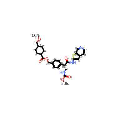 CC(C)(C)OC(=O)NC[C@@H](C(=O)Nc1cc2ccncc2s1)c1ccc(COC(=O)C2CCC(CO[N+](=O)[O-])CC2)cc1